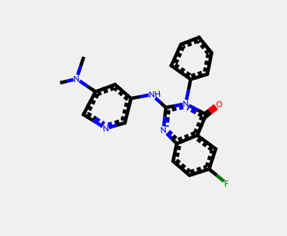 CN(C)c1cncc(Nc2nc3ccc(F)cc3c(=O)n2-c2ccccc2)c1